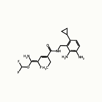 CC/C(=C\C(F)=C(/N)OC(F)F)C(=O)NCc1c(C2CC2)ccc(N)c1N